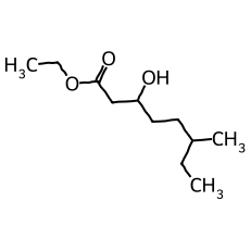 CCOC(=O)CC(O)CCC(C)CC